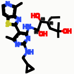 CC[C@H](CC(C)(C)O)[C@@H](O)[C@@H](O)Nc1nc(NCC2CC2)nc(C)c1-c1nc2c(C)nccc2s1